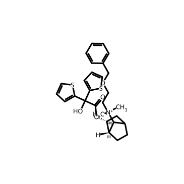 C[N+](C)(CCOCc1ccccc1)C1C2CC[C@@H]1[C@H](OC(=O)C(O)(c1cccs1)c1cccs1)C2